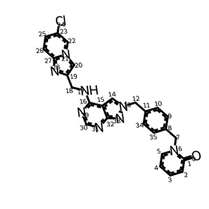 O=c1ccccn1Cc1ccc(Cn2cc3c(NCc4cn5cc(Cl)ccc5n4)ncnc3n2)cc1